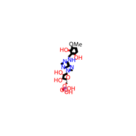 COc1ccc(O)c(CNc2ncnc3c2ncn3[C@@H]2O[C@H](COP(=O)(O)O)[C@@H](O)[C@H]2O)c1O